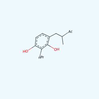 CCCc1c(O)ccc(CC(C)C(C)=O)c1O